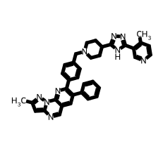 Cc1cc2ncc3cc(-c4ccccc4)c(-c4ccc(CN5CCC(c6nnc(-c7cnccc7C)[nH]6)CC5)cc4)nc3n2n1